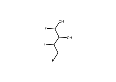 OC(F)C(O)C(F)CF